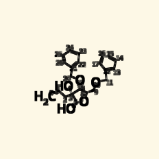 C=CC[C@]1(O)C(O)O[C@H](COCc2ccccc2)[C@H]1OCc1ccccc1